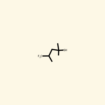 CC(CC(C)(C)S)C(F)(F)F